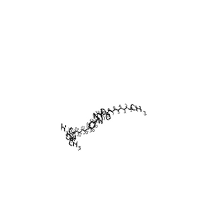 CCCCCCC/C=C/C(=O)Oc1cnc(-c2ccc(CCCCC(C)OC(C)=O)cc2)nc1